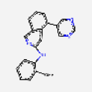 COc1c[c]ccc1Nc1cc2c(-c3cncnc3)cccc2cn1